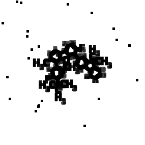 Cc1ccc2c(oc3c(-c4ccc5c(c4)C(C)(C)c4ccccc4-5)c(F)ccc32)c1-c1cc(F)c(C(C)(C)C)c[n+]1C